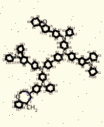 C=C1/C=C\C(c2ccc(N(c3ccccc3)c3ccc(N(c4ccc(-c5ccc(N(c6ccc(-c7ccc8c(c7)c7ccccc7n8-c7ccccc7)cc6)c6ccc(N(c7ccccc7)c7ccc(-c8ccc9c(c8)oc8ccccc89)cc7)cc6)cc5)cc4)c4ccc(-c5ccc6c(c5)c5ccccc5n6-c5ccccc5)cc4)cc3)cc2)=C/CCOc2ccccc21